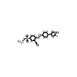 CCS(=O)(=O)c1ccc(COc2ccc(-c3c[nH]cn3)cc2)c(C#N)c1